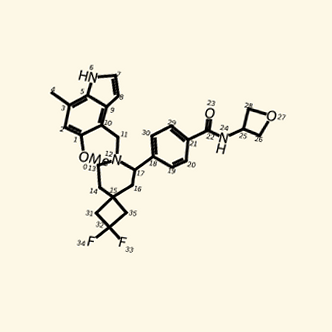 COc1cc(C)c2[nH]ccc2c1CN1CCC2(CC1c1ccc(C(=O)NC3COC3)cc1)CC(F)(F)C2